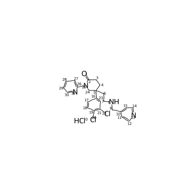 Cl.O=C1CCC(CCNCc2ccncc2)(c2ccc(Cl)c(Cl)c2)CN1c1ccccn1